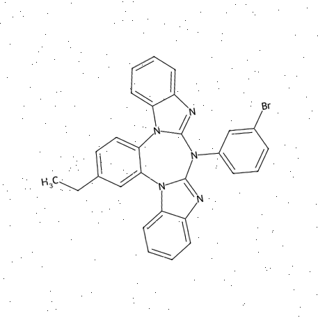 CCc1ccc2c(c1)n1c3ccccc3nc1n(-c1cccc(Br)c1)c1nc3ccccc3n21